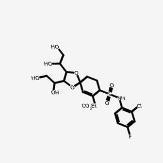 CCOC(=O)C1=CC2(CCC1S(=O)(=O)Nc1ccc(F)cc1Cl)OC(C(O)CO)C(C(O)CO)O2